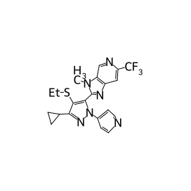 CCSc1c(C2CC2)nn(-c2ccncc2)c1-c1nc2cc(C(F)(F)F)ncc2n1C